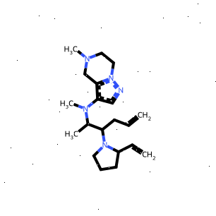 C=CCC(C(C)N(C)c1cnn2c1CN(C)CC2)N1CCCC1C=C